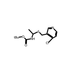 CC(NC(=O)OC(C)(C)C)SCc1cnccc1Cl